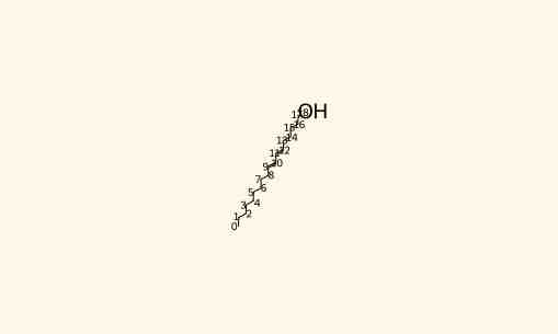 CCCCCCCCCC=CC=CCCCCCO